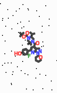 CC(C)C1CN(C(=O)c2cc(-c3ccc(O)cc3F)nc3c2cnn3C2CCCCO2)C(C)(C)CN1C(=O)OC(C)(C)C